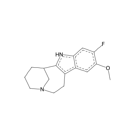 COc1cc2c3c([nH]c2cc1F)C1CCCN(CC3)C1